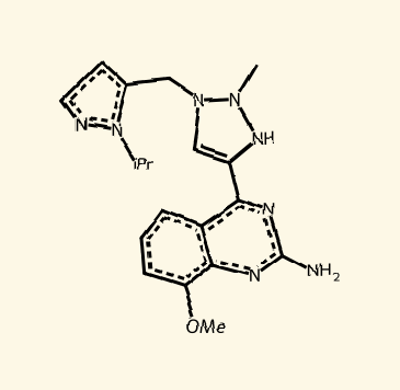 COc1cccc2c(C3=CN(Cc4ccnn4C(C)C)N(C)N3)nc(N)nc12